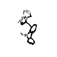 OCn1nncc1-c1cccc2c1[nH]c1ccccc12